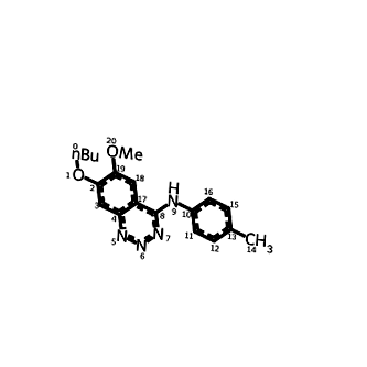 CCCCOc1cc2nnnc(Nc3ccc(C)cc3)c2cc1OC